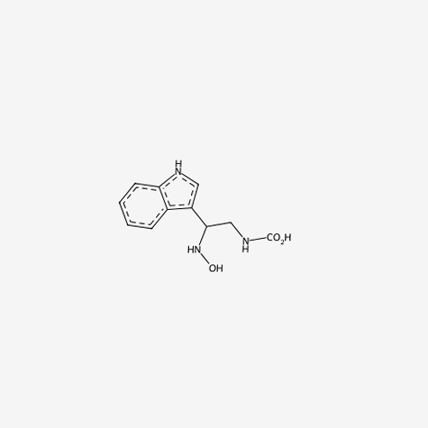 O=C(O)NCC(NO)c1c[nH]c2ccccc12